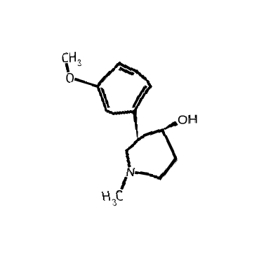 COc1cccc([C@@H]2CN(C)CC[C@@H]2O)c1